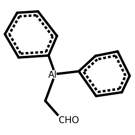 O=C[CH2][Al]([c]1ccccc1)[c]1ccccc1